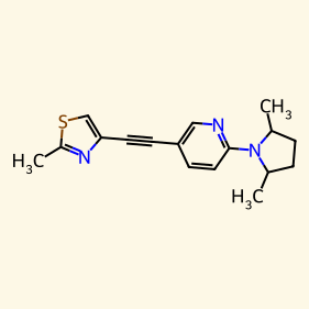 Cc1nc(C#Cc2ccc(N3C(C)CCC3C)nc2)cs1